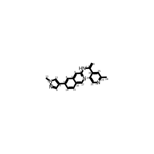 C=C(Nc1cc2cc(-c3cnn(C)c3)ccc2cn1)c1ccnc(C)c1